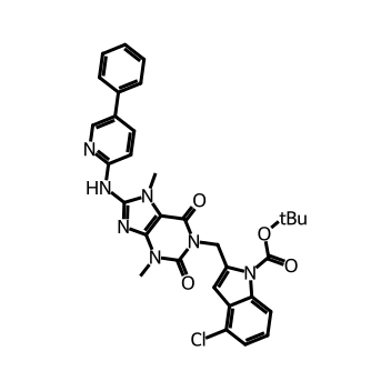 Cn1c(Nc2ccc(-c3ccccc3)cn2)nc2c1c(=O)n(Cc1cc3c(Cl)cccc3n1C(=O)OC(C)(C)C)c(=O)n2C